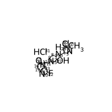 Cc1ncc(CN[C@H]2CCN(CCn3c(=O)ccc4ncc(F)cc43)C[C@H]2O)cc1Cl.Cl